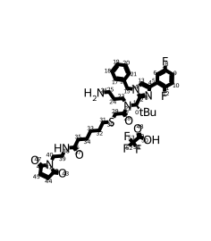 CC(C)(C)[C@H](c1nc(-c2cc(F)ccc2F)cn1Cc1ccccc1)N(CCCN)C(=O)CSCCCCCC(=O)NCCN1C(=O)C=CC1=O.O=C(O)C(F)(F)F